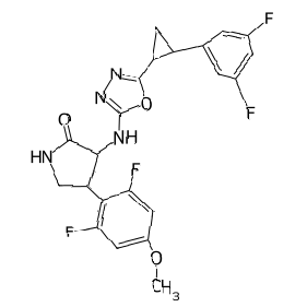 COc1cc(F)c(C2CNC(=O)C2Nc2nnc(C3CC3c3cc(F)cc(F)c3)o2)c(F)c1